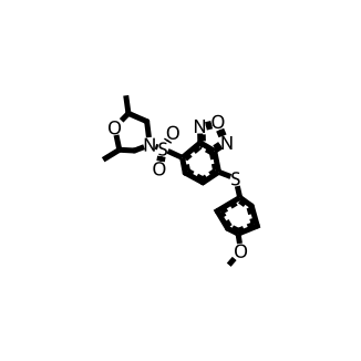 COc1ccc(Sc2ccc(S(=O)(=O)N3CC(C)OC(C)C3)c3nonc23)cc1